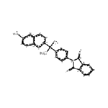 CCOC(=O)C(C)(c1ccc(N2C(=O)c3ccccc3C2=O)cc1)c1ccc2cc(OC)ccc2c1